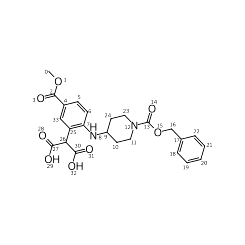 COC(=O)c1ccc(NC2CCN(C(=O)OCc3ccccc3)CC2)c(C(C(=O)O)C(=O)O)c1